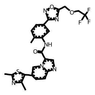 Cc1nc(C)c(-c2ccc3ncc(C(=O)Nc4cc(-c5noc(COCC(F)(F)F)n5)ccc4C)n3c2)s1